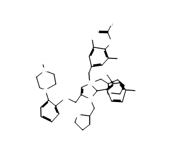 CC(=O)N1CCN(c2ccccc2OCC2=C[N+](Cc3cc(C)c(OC(=O)C(C)C)c(C)c3)(CC3CCCO3)C(c3ccc(Cl)cc3Cl)N2CC2CCCO2)CC1.[Br-]